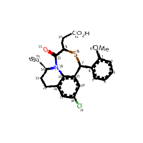 COc1ccccc1C1SC(CC(=O)O)C(=O)N2c3c(cc(Cl)cc31)CC[C@H]2C(C)(C)C